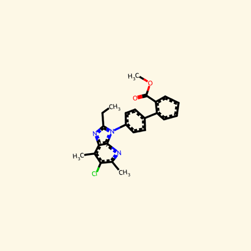 CCc1nc2c(C)c(Cl)c(C)nc2n1-c1ccc(-c2ccccc2C(=O)OC)cc1